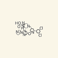 O=C(O)[C@@H]1[C@@H]2CCN(Cc3cc(Oc4cnc(N5CCN6CCC5C6)nc4)nc(-c4cc(Cl)cc(Cl)c4)c3)CC[C@@H]21